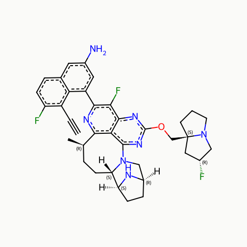 C#Cc1c(F)ccc2cc(N)cc(-c3nc4c5c(nc(OC[C@@]67CCCN6C[C@H](F)C7)nc5c3F)N3C[C@H]5CC[C@H](N5)[C@@H]3CC[C@H]4C)c12